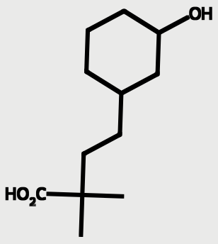 CC(C)(CCC1CCCC(O)C1)C(=O)O